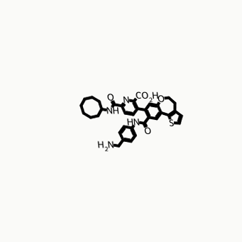 NCc1ccc(NC(=O)c2cc3c(cc2-c2ccc(C(=O)NC4CCCCCCC4)nc2C(=O)O)OCCc2ccsc2-3)cc1